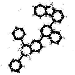 c1ccc(-c2nc(-c3ccccc3)c3cc(-c4ccc(-c5cccc6oc7ccccc7c56)c5ccccc45)ccc3n2)cc1